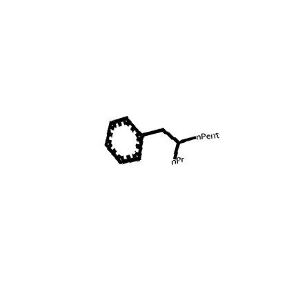 CCCCCC(CCC)Cc1ccccc1